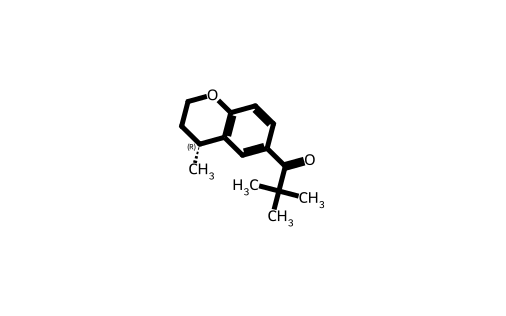 C[C@@H]1CCOc2ccc(C(=O)C(C)(C)C)cc21